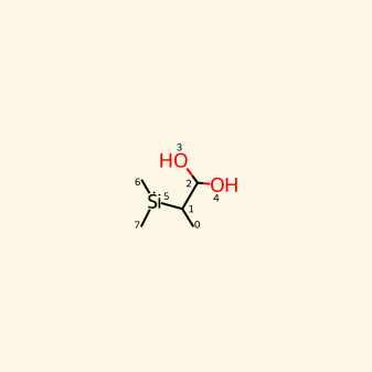 CC(C(O)O)[Si](C)C